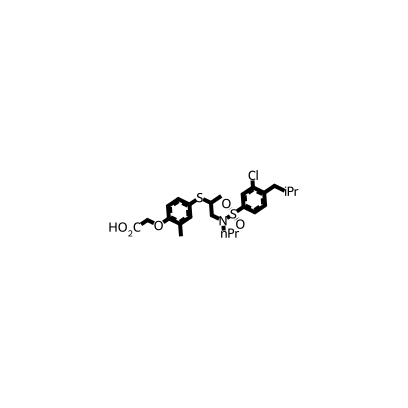 CCCN(CC(C)Sc1ccc(OCC(=O)O)c(C)c1)S(=O)(=O)c1ccc(CC(C)C)c(Cl)c1